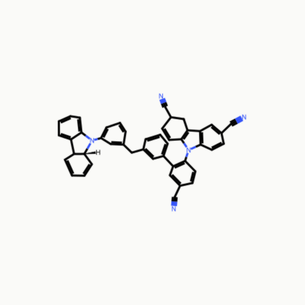 N#Cc1ccc(-n2c3c(c4cc(C#N)ccc42)CC(C#N)C=C3)c(-c2cccc(Cc3cccc(N4c5ccccc5C5C=CC=C[C@H]54)c3)c2)c1